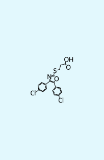 O=C(O)CCSc1nc(-c2ccc(Cl)cc2)c(-c2ccc(Cl)cc2)o1